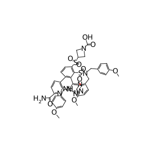 COc1ccc(CN(Cc2ccc(OC)cc2)S(=O)(=O)c2c(S(=O)(=O)C3CN(C(=O)O)C3)ccc(-c3ccc(C(N)=O)nc3N)c2-c2nnnn2Cc2ccc(OC)cc2)cc1